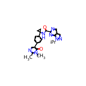 Cc1ncc(-c2ccc(C3(NC(=O)c4ncc5cnn(C(C)C)c5n4)CC3)cc2)c(=O)n1C